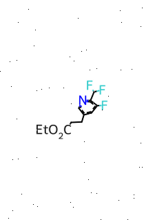 CCOC(=O)CCc1cnc(C(F)F)c(F)c1